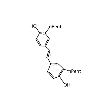 CCCCCc1cc(/C=C/c2ccc(O)c(CCCCC)c2)ccc1O